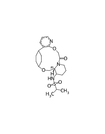 CC(C)S(=O)(=O)NC1CCCN2C(=O)COc3ncccc3C3CCC(CC3)OC[C@@H]12